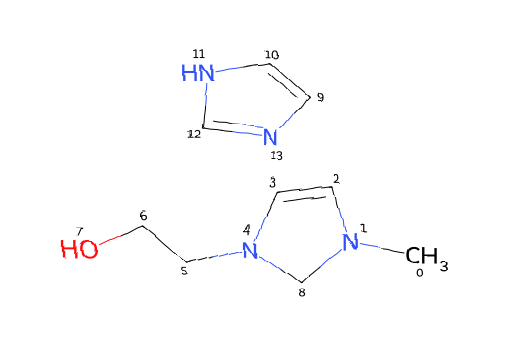 CN1C=CN(CCO)C1.c1c[nH]cn1